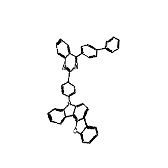 C1=CC(c2nc(-c3ccc(-c4ccccc4)cc3)c3ccccc3n2)CC=C1n1c2ccccc2c2c3oc4ccccc4c3ccc21